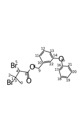 CC(C)(Br)C(Br)C(=O)OCc1cccc(Oc2ccccc2)c1